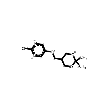 CC1(C)OCC(COc2cnc(Cl)nc2)CO1